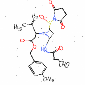 C=C(C)C(C(=O)OCc1ccc(OC)cc1)N1C(NC(=O)CC=O)CC1[S+]([O-])N1C(=O)CCC1=O